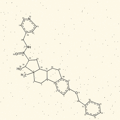 CC12CCC3c4ccc(OCc5ccccc5)cc4CCC3C1CC(C(=O)NCc1ccncc1)C2O